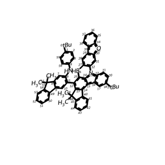 CC(C)(C)c1ccc(Nc2cc3c(cc2-c2c4c(c5c6cc(C(C)(C)C)ccc6n6c5c2Bc2cc5c(cc2-6)oc2ccccc25)-c2ccccc2C4(C)C)-c2ccccc2C3(C)C)cc1